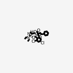 CCN(CC)c1ncc(CN(C(=O)c2ccc(Cl)cc2Cl)C2(C(=O)O)C=C(c3ccccc3)SC2)s1